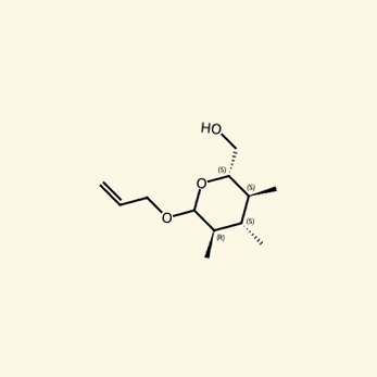 C=CCOC1O[C@H](CO)[C@@H](C)[C@H](C)[C@H]1C